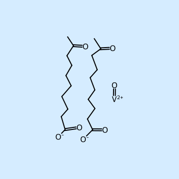 CC(=O)CCCCCCCC(=O)[O-].CC(=O)CCCCCCCC(=O)[O-].[O]=[V+2]